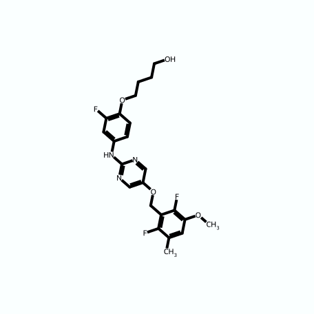 COc1cc(C)c(F)c(COc2cnc(Nc3ccc(OCCCCO)c(F)c3)nc2)c1F